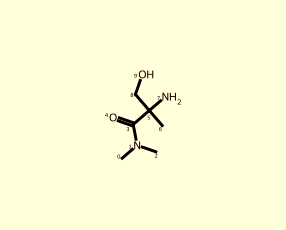 CN(C)C(=O)C(C)(N)CO